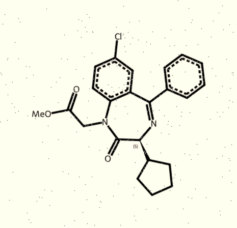 COC(=O)CN1C(=O)[C@H](C2CCCC2)N=C(c2ccccc2)c2cc(Cl)ccc21